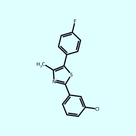 Cc1nc(-c2cccc(Cl)c2)sc1-c1ccc(F)cc1